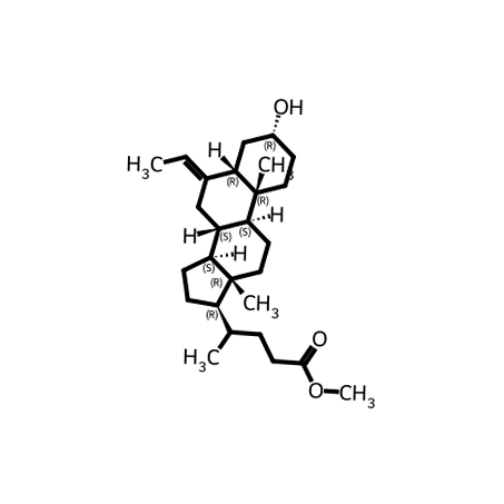 CC=C1C[C@@H]2[C@H](CC[C@]3(C)[C@@H](C(C)CCC(=O)OC)CC[C@@H]23)[C@@]2(C)CC[C@@H](O)C[C@@H]12